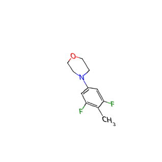 Cc1c(F)cc(N2CCOCC2)cc1F